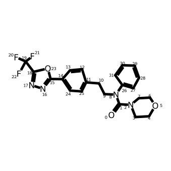 O=C(N1CCOCC1)N(CCc1ccc(-c2nnc(C(F)(F)F)o2)cc1)c1ccccc1